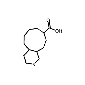 O=C(O)C1CCCCC2CCSCC2CC1